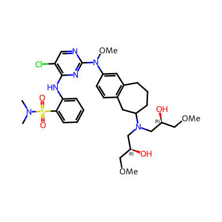 COC[C@H](O)CN(C[C@@H](O)COC)C1CCCc2cc(N(OC)c3ncc(Cl)c(Nc4ccccc4S(=O)(=O)N(C)C)n3)ccc2C1